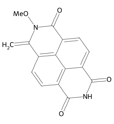 C=c1c2ccc3c4c(ccc(c(=O)n1OC)c42)C(=O)NC3=O